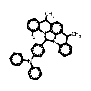 CC(C)c1cccc2c1N1c3c(ccc4c3N(c3ccccc3C4C)C1c1ccc(N(c3ccccc3)c3ccccc3)cc1)C2C